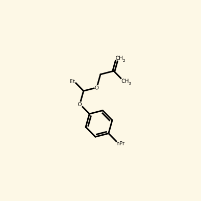 C=C(C)COC(CC)Oc1ccc(CCC)cc1